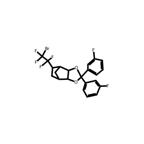 Fc1cccc(C2(c3cccc(F)c3)OC3C4CC(C3O2)C(C(F)(F)C(F)(F)Br)C4)c1